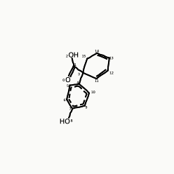 O=C(O)C1(c2ccc(O)cc2)C=CC=CC1